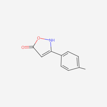 Cc1ccc(-c2cc(=O)o[nH]2)cc1